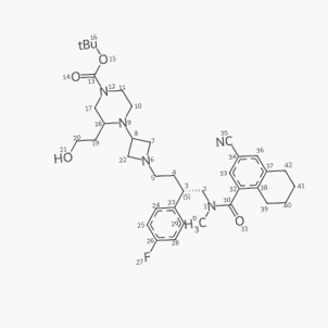 CN(C[C@@H](CCN1CC(N2CCN(C(=O)OC(C)(C)C)CC2CCO)C1)c1ccc(F)cc1)C(=O)c1cc(C#N)cc2c1CCCC2